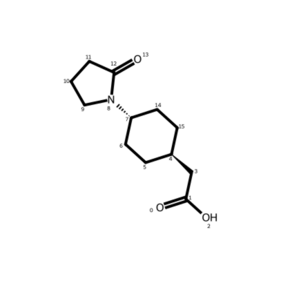 O=C(O)C[C@H]1CC[C@H](N2CCCC2=O)CC1